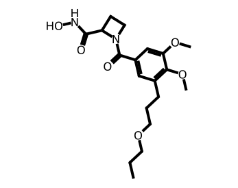 CCCOCCCc1cc(C(=O)N2CCC2C(=O)NO)cc(OC)c1OC